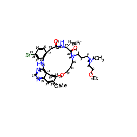 CCOCCN(C)CCCN1CCCOc2cc3c(ncnc3cc2OC)Nc2cc(Br)ccc2CC(=O)N[C@H](CC(C)C)C1=O